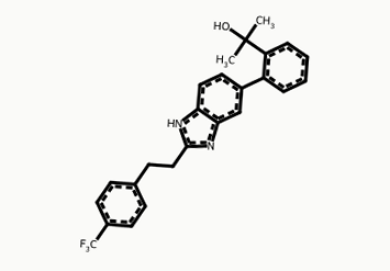 CC(C)(O)c1ccccc1-c1ccc2[nH]c(CCc3ccc(C(F)(F)F)cc3)nc2c1